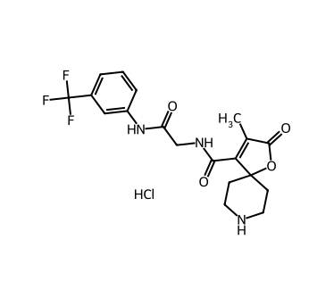 CC1=C(C(=O)NCC(=O)Nc2cccc(C(F)(F)F)c2)C2(CCNCC2)OC1=O.Cl